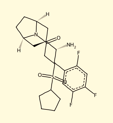 N[C@H](Cc1cc(F)c(F)cc1F)[C@H]1C[C@H]2CC[C@@H](C1)N2C(=O)CCS(=O)(=O)C1CCCC1